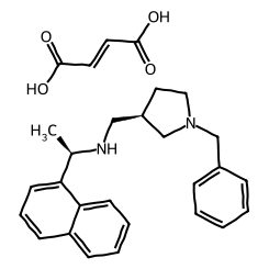 C[C@@H](NC[C@H]1CCN(Cc2ccccc2)C1)c1cccc2ccccc12.O=C(O)C=CC(=O)O